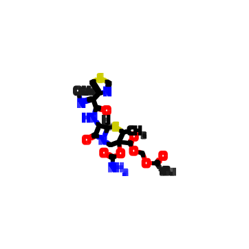 CON=C(C(=O)NC1C(=O)N2CC(OC(N)=O)(C(=O)OCOC(=O)C(C)(C)C)C(C)S[C@H]12)c1cscn1